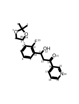 CC1(C)OC[C@@H](c2cccc(C(O)CC(=O)c3cccnc3)c2F)O1